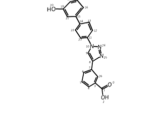 O=C(O)c1cccc(-c2cn(-c3ccc(-c4cccc(O)c4)cc3)nn2)c1